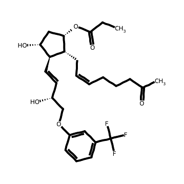 CCC(=O)O[C@H]1C[C@@H](O)[C@H](/C=C/[C@@H](O)COc2cccc(C(F)(F)F)c2)[C@H]1C/C=C\CCCC(C)=O